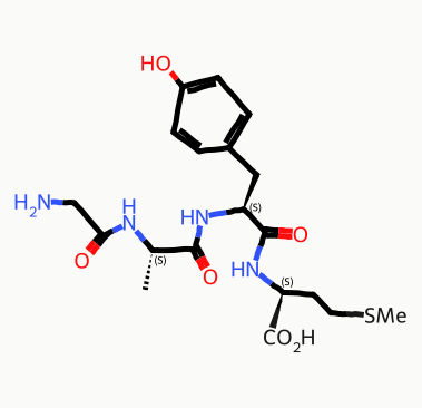 CSCC[C@H](NC(=O)[C@H](Cc1ccc(O)cc1)NC(=O)[C@H](C)NC(=O)CN)C(=O)O